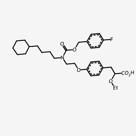 CCOC(Cc1ccc(OCCN(CCCCC2CCCCC2)C(=O)OCc2ccc(F)cc2)cc1)C(=O)O